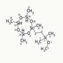 CO[Si](C)(C)CC[Si]1(C)O[SiH](C)O[SiH](C)O[SiH](C)O1